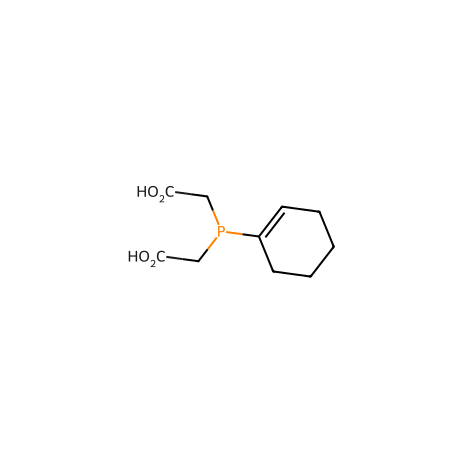 O=C(O)CP(CC(=O)O)C1=CCCCC1